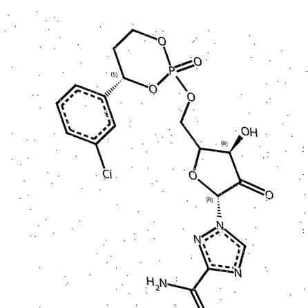 NC(=O)c1ncn([C@@H]2OC(COP3(=O)OCC[C@@H](c4cccc(Cl)c4)O3)[C@@H](O)C2=O)n1